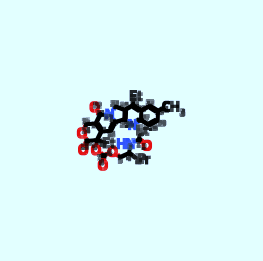 CCC(=O)NC(COC(=O)OC1(CC)C(=O)OCc2c1cc1n(c2=O)Cc2c-1nc1ccc(C)cc1c2CC)C(C)C